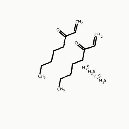 C=CC(=O)CCCCC.C=CC(=O)CCCCC.S.S.S.S